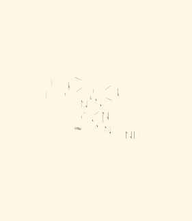 CC#CCn1c(N2CCC[C@@H](N)C2)nc2c1c(=O)n(Cc1ccccc1OC(F)F)c(=O)n2-c1ccccc1